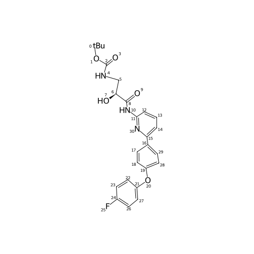 CC(C)(C)OC(=O)NC[C@H](O)C(=O)Nc1cccc(-c2ccc(Oc3ccc(F)cc3)cc2)n1